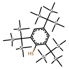 C[Si](C)(C)C(c1cc(C([Si](C)(C)C)([Si](C)(C)C)[Si](C)(C)C)c(S)c(C([Si](C)(C)C)([Si](C)(C)C)[Si](C)(C)C)c1)([Si](C)(C)C)[Si](C)(C)C